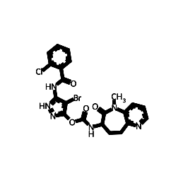 CN1C(=O)C(NC(=O)Oc2n[nH]c(NC(=O)c3ccccc3Cl)c2Br)CCc2ncccc21